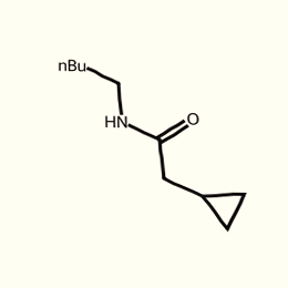 CCCCCNC(=O)CC1CC1